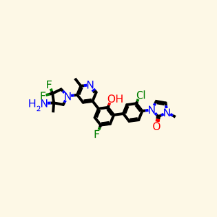 Cc1ncc(-c2cc(F)cc(-c3ccc(-n4ccn(C)c4=O)c(Cl)c3)c2O)cc1N1CC(C)(N)C(F)(F)C1